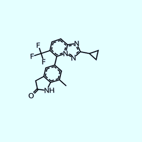 Cc1cc(-c2c(C(F)(F)F)ccc3nc(C4CC4)nn23)cc2c1NC(=O)C2